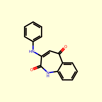 O=c1[nH]c2ccccc2c(=O)cc1Nc1ccccc1